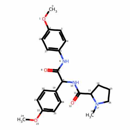 COc1ccc(NC(=O)C(NC(=O)C2CCCN2C)c2ccc(OC)cc2)cc1